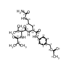 CC(=O)OCc1ccc(NC(=O)[C@H](CCCNC(N)=O)NC(=O)C(NC(=O)C(C)C)C(C)C)cc1